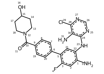 Nc1cc(F)c(-c2ccc(C(=O)N3CCC(O)CC3)cc2)cc1Nc1ncnc(Cl)c1N